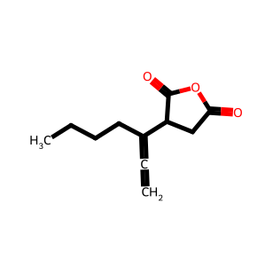 C=C=C(CCCC)C1CC(=O)OC1=O